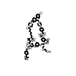 Cc1ncsc1-c1ccc([C@H](C)NC(=O)[C@@H]2C[C@@H](O)CN2C(=O)[C@@H](NC(=O)CCCCCCC(=O)N2CCN(CC3(C)CCC(c4ccc(Cl)cc4)=C(CN4CCN(c5ccc(C(=O)NS(=O)(=O)c6ccc(N[C@H](CCN(C)CCO)CSc7ccccc7)c([N+](=O)[O-])c6)cc5)CC4)C3)CC2)C(C)(C)C)cc1